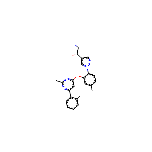 Cc1nc(Oc2cc(C#N)ccc2-n2cc([C@@H](O)CN)cn2)cc(-c2ccccc2C(F)(F)F)n1